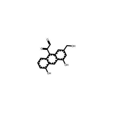 O=CC(=O)c1c2cccc(O)c2cc2c(O)cc(CO)cc12